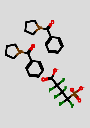 O=C([O-])C(F)(F)C(F)(F)C(F)(F)S(=O)(=O)[O-].O=C(c1ccccc1)[S+]1CCCC1.O=C(c1ccccc1)[S+]1CCCC1